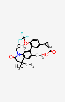 CCN1C(=O)CC(C)(C)c2cc(C)c(-c3cc(C4C[C@@H]4C(=O)O)ccc3OC(F)(F)F)cc21